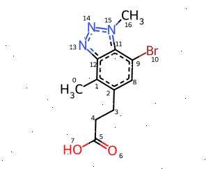 Cc1c(CCC(=O)O)cc(Br)c2c1nnn2C